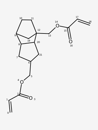 C=CC(=O)OCC1CC2C3CCC(COC(=O)C=C)(C3)C2C1